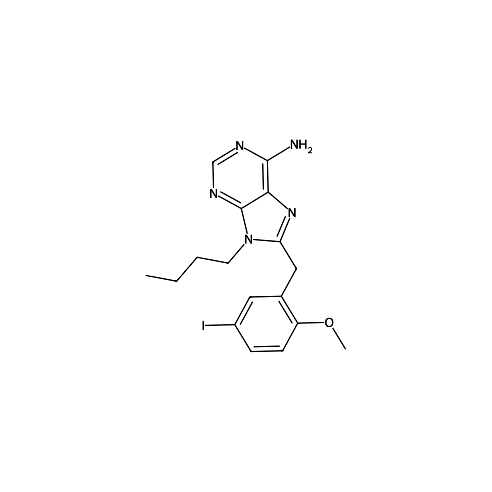 CCCCn1c(Cc2cc(I)ccc2OC)nc2c(N)ncnc21